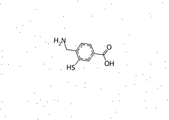 NCc1ccc(C(=O)O)cc1S